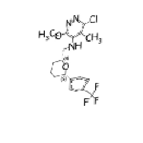 COc1nnc(Cl)c(C)c1NC[C@H]1CCC[C@@H](c2ccc(C(F)(F)F)cc2)O1